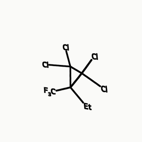 CCC1(C(F)(F)F)C(Cl)(Cl)C1(Cl)Cl